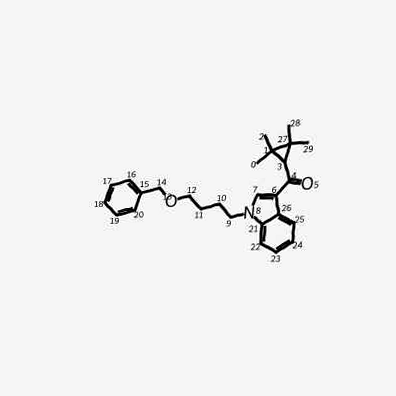 CC1(C)C(C(=O)c2cn(CCCCOCc3ccccc3)c3ccccc23)C1(C)C